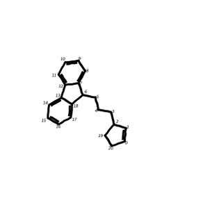 C1=CC(CCCC2c3ccccc3-c3ccccc32)CC1